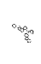 c1ccc(-c2nc3ccc4c(N(c5ccccc5)c5ccc6sc7ccccc7c6c5)cccc4c3o2)cc1